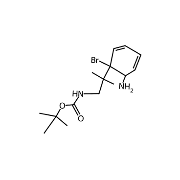 CC(C)(C)OC(=O)NCC(C)(C)C1(Br)C=CC=CC1N